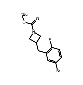 CC(C)(C)OC(=O)N1CC(Cc2cc(Br)ccc2F)C1